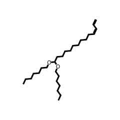 C=C/C=C\CCCCCCCCCC(OCCCCCCC)OCCCCCCC